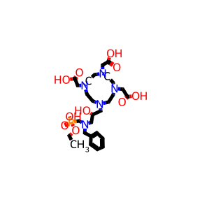 CCOP(=O)(O)CN(Cc1ccccc1)CC(O)CN1CCN(CC(=O)O)CCN(CC(=O)O)CCN(CC(=O)O)CC1